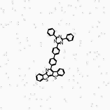 c1ccc(-c2nc(-c3ccccc3)nc(-c3ccc(-c4ccc(-c5nc6c7ccccc7sc6c6sc7ccccc7c56)cc4)cc3)n2)cc1